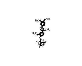 CCc1cc(C(CC)(CC)CCc2ccc(CO)c(CO)c2)ccc1SCC(O)C(C(F)(F)F)C(F)(F)F